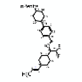 C/C=C/C1CCC(C(OCc2ccc(C3CCC(CCCCC)CC3)cc2)C(F)F)CC1